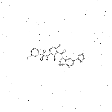 O=C(c1c(F)ccc(NS(=O)(=O)c2cccc(F)c2)c1F)c1c[nH]c2ncc(-c3cscn3)cc12